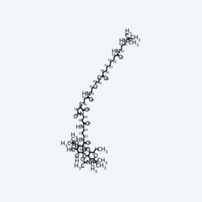 CCC1OC(C(C)(C)C)C(NC(C)=O)C(OC2OC(C(=O)NCCCNC(=O)CCN3C(=O)CC(SCCC(=O)NCCOCCOC(=O)CCCCCCCC(=O)NCCCNC(C)(C)C)C3=O)C(OC(C)(C)C)C(O)C2O)C1O